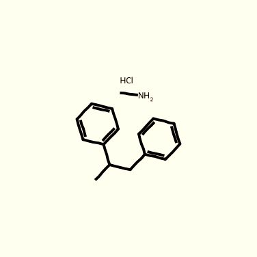 CC(Cc1ccccc1)c1ccccc1.CN.Cl